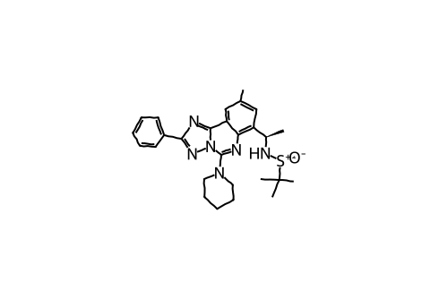 Cc1cc([C@@H](C)N[S@+]([O-])C(C)(C)C)c2nc(N3CCCCC3)n3nc(-c4ccccc4)nc3c2c1